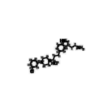 Cl.NCCc1c[nH]c2ccc(CCCN3CCN(c4cccc(Cl)c4)CC3)cc12